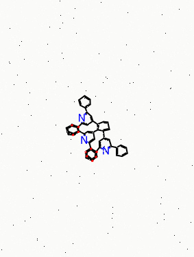 c1ccc(-c2cc(-c3cccc(-c4cc(-c5ccccc5)nc(-c5ccccc5)c4)c3-c3cc(-c4ccccc4)nc(-c4ccccc4)c3)cc(-c3ccccc3)n2)cc1